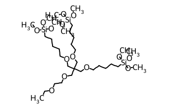 CCOCCOCC(COCCCCC[Si](OC)(OC)OC)(COCCCCC[Si](OC)(OC)OC)COCCCCC[Si](OC)(OC)OC